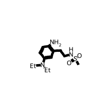 CCN(CC)c1ccc(N)c(CCNS(C)(=O)=O)c1